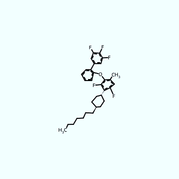 CCCCCCC[C@H]1CC[C@H](c2c(F)cc(C)c(Oc3ccccc3-c3cc(F)c(F)c(F)c3)c2F)CC1